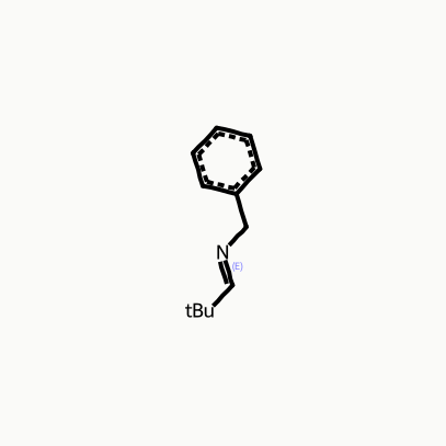 CC(C)(C)/C=N/Cc1ccccc1